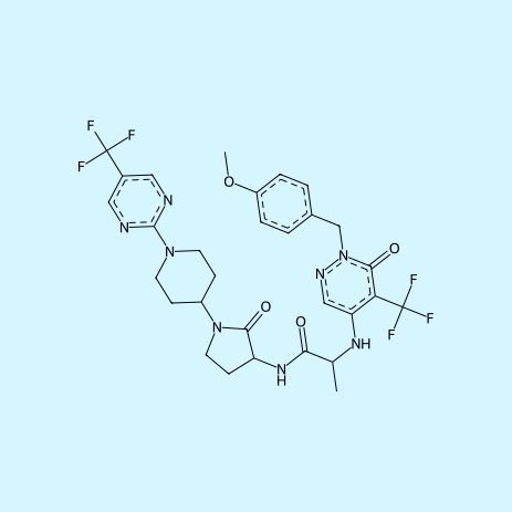 COc1ccc(Cn2ncc(NC(C)C(=O)NC3CCN(C4CCN(c5ncc(C(F)(F)F)cn5)CC4)C3=O)c(C(F)(F)F)c2=O)cc1